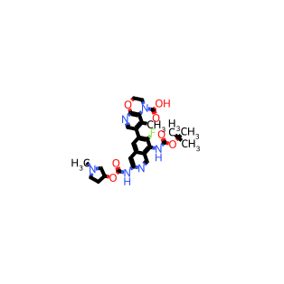 Cc1c(-c2cc3cc(NC(=O)OC4CCN(C)C4)ncc3c(NC(=O)OC(C)(C)C)c2F)cnc2c1N(C(=O)O)CCO2